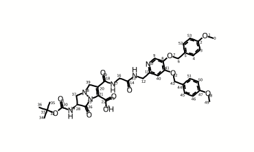 COc1ccc(COc2cnc(CNC(=O)CNC(=O)C3=C(C(=O)O)N4C(=O)[C@@H](NC(=O)OC(C)(C)C)CN4C3)cc2OCc2ccc(OC)cc2)cc1